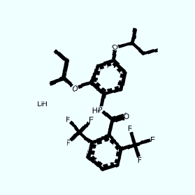 CCC(C)Oc1ccc(PC(=O)c2c(C(F)(F)F)cccc2C(F)(F)F)c(OC(C)CC)c1.[LiH]